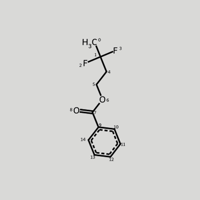 CC(F)(F)CCOC(=O)c1ccccc1